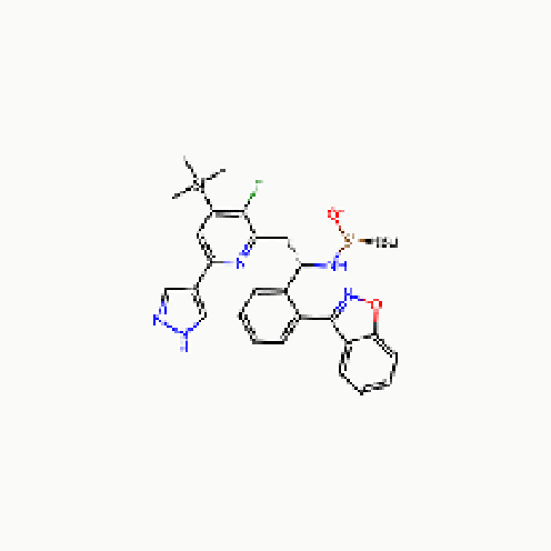 CC(C)(C)[S@+]([O-])N[C@@H](Cc1nc(-c2cn[nH]c2)cc([Si](C)(C)C)c1F)c1ccccc1-c1noc2ccccc12